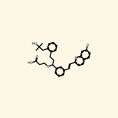 CC(C)(O)Cc1ccccc1CCC(SCCC(=O)O)c1cccc(/C=C/c2ccc3ccc(Cl)cc3n2)c1